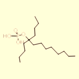 CCCCCCCCC(CCCC)(CCCC)OP(=O)(O)O